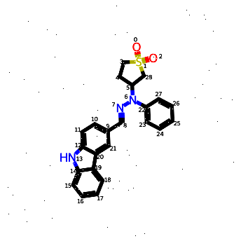 O=S1(=O)CCC(N(/N=C/c2ccc3[nH]c4ccccc4c3c2)c2ccccc2)C1